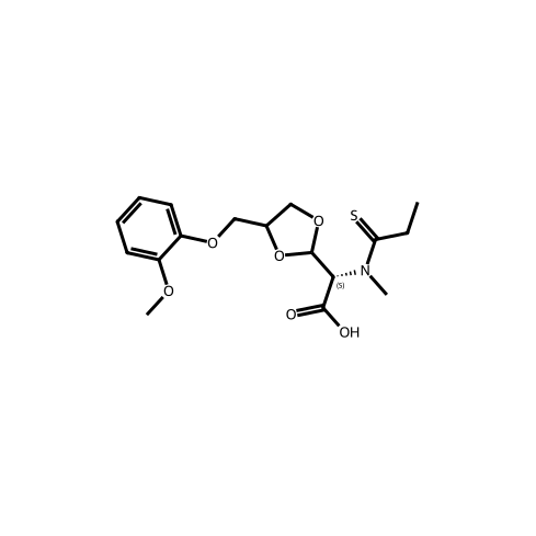 CCC(=S)N(C)[C@H](C(=O)O)C1OCC(COc2ccccc2OC)O1